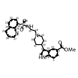 COC(=O)c1ccc2[nH]cc(C3CCN(CCNS(=O)(=O)c4cccc5cccnc45)CC3)c2c1